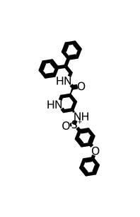 O=C(NCC(c1ccccc1)c1ccccc1)[C@@H]1CNC[C@H](N[S+]([O-])c2ccc(Oc3ccccc3)cc2)C1